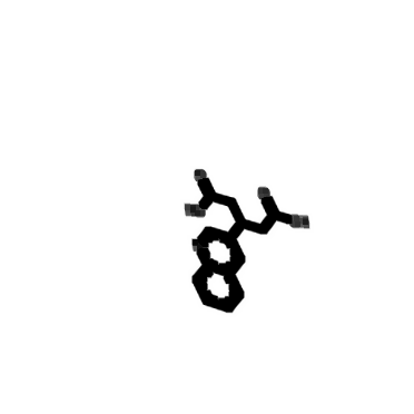 O=C(O)CC(CC(=O)O)c1cnc2ccccc2c1